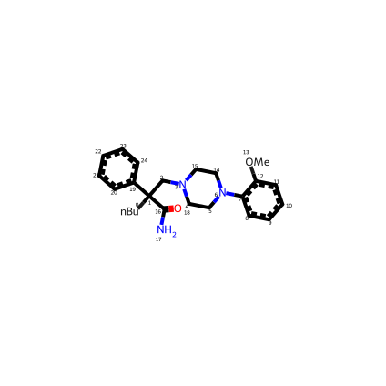 CCCCC(CN1CCN(c2ccccc2OC)CC1)(C(N)=O)c1ccccc1